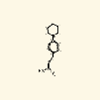 CCOC(C)=NOc1ccc(C2CCCCC2)cc1